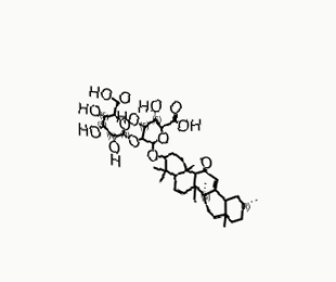 C[C@@H]1CCC2(C)CC[C@]3(C)C(=CC(=O)C4C5(C)CCC(OC6OC(C(=O)O)[C@@H](O)[C@H](O)C6O[C@@H]6OC(C(=O)O)[C@@H](O)[C@H](O)[C@H]6O)C(C)(C)C5CCC43C)C2C1